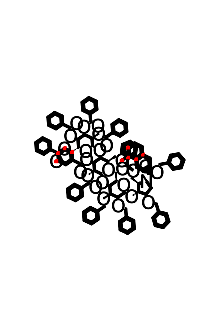 O=C(OC[C@H]1O[C@@H](O[C@H]2[C@H](OC(=O)c3ccccc3)[C@@H](OC(=O)c3ccccc3)[C@H](O[C@H]3[C@H](OCc4ccccc4)[C@@H](OCc4ccccc4)[C@@H](O[C@@H]4[C@@H](COCc5ccccc5)N(C(=O)OCc5ccccc5)C[C@H]4OCc4ccccc4)O[C@@H]3COCc3ccccc3)O[C@@H]2COC(=O)c2ccccc2)[C@H](OC(=O)c2ccccc2)[C@@H](OC(=O)c2ccccc2)[C@@H]1OC(=O)c1ccccc1)c1ccccc1